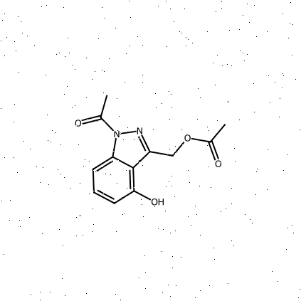 CC(=O)OCc1nn(C(C)=O)c2cccc(O)c12